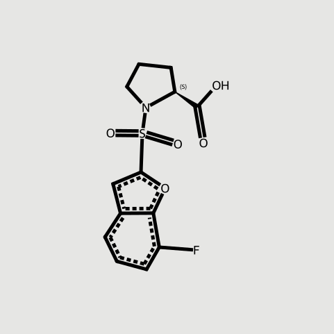 O=C(O)[C@@H]1CCCN1S(=O)(=O)c1cc2cccc(F)c2o1